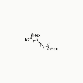 [CH2]CCCCCC(C)CC#CCCC(CC)CCCCC[CH2]